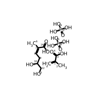 C=C(C)C(=O)O.CC(=CCC(O)CO)C(=O)O.O=P(O)(O)O.O=P(O)(O)O